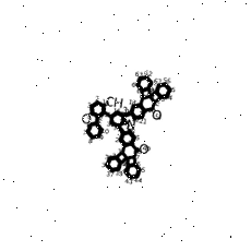 Cc1ccc2oc3ccccc3c2c1-c1cc2c3cc4c(cc3n3c5cc6c(cc5c(c1)c23)C1c2ccccc2C12c1ccccc1C2C6=O)C(=O)C1c2ccccc2C12c1ccccc1C42